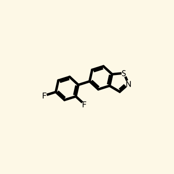 Fc1ccc(-c2ccc3sncc3c2)c(F)c1